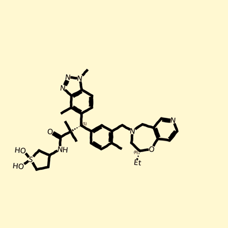 CC[C@@H]1CN(Cc2cc([C@@H](c3ccc4c(nnn4C)c3C)C(C)(C)C(=O)NC3CCS(O)(O)C3)ccc2C)Cc2cnccc2O1